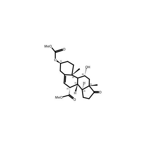 COC(=O)O[C@H]1CC[C@@]2(C)C(=C[C@@H](C(=O)OC)[C@@H]3C2[C@H](O)C[C@]2(C)C(=O)CC[C@@H]32)C1